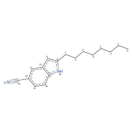 CCCCCCCCc1cc2cc(C#N)ccc2[nH]1